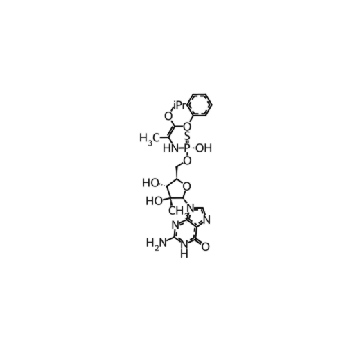 CC(N[P@@](O)(=S)OC[C@H]1O[C@@H](n2cnc3c(=O)[nH]c(N)nc32)[C@](C)(O)[C@@H]1O)=C(Oc1ccccc1)OC(C)C